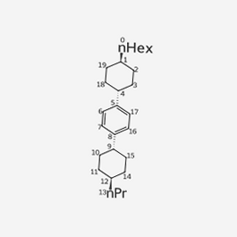 CCCCCC[C@H]1CC[C@H](c2ccc([C@H]3CC[C@H](CCC)CC3)cc2)CC1